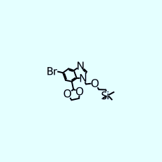 C[Si](C)(C)CCOCn1cnc2cc(Br)cc(C3OCCO3)c21